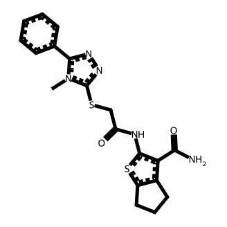 Cn1c(SCC(=O)Nc2sc3c(c2C(N)=O)CCC3)nnc1-c1ccccc1